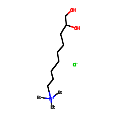 CC[N+](CC)(CC)CCCCCCCC(O)CO.[Cl-]